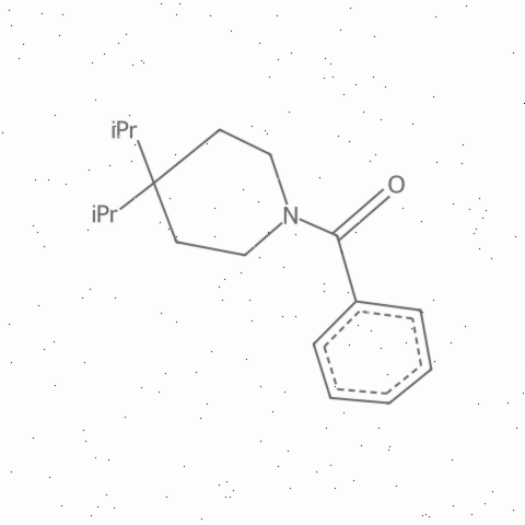 CC(C)C1(C(C)C)CCN(C(=O)c2ccccc2)CC1